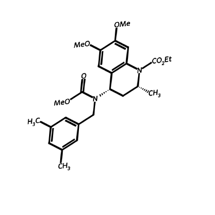 CCOC(=O)N1c2cc(OC)c(OC)cc2[C@@H](N(Cc2cc(C)cc(C)c2)C(=O)OC)C[C@H]1C